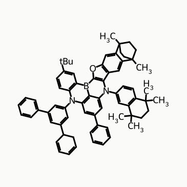 CC(C)(C)c1ccc2c(c1)B1c3oc4cc5c(cc4c3N(c3ccc4c(c3)C(C)(C)CCC4(C)C)c3cc(-c4ccccc4)cc(c31)N2c1cc(-c2ccccc2)cc(C2C=CC=CC2)c1)C1(C)CCC5(C)CC1